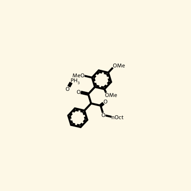 CCCCCCCCOC(=O)C(C(=O)c1c(OC)cc(OC)cc1OC)c1ccccc1.O=[PH3]